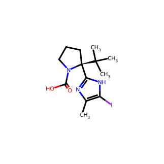 Cc1nc([C@@]2(C(C)(C)C)CCCN2C(=O)O)[nH]c1I